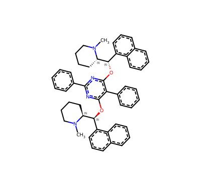 CN1CCCC[C@H]1[C@@H](Oc1nc(-c2ccccc2)nc(O[C@@H](c2cccc3ccccc23)[C@@H]2CCCCN2C)c1-c1ccccc1)c1cccc2ccccc12